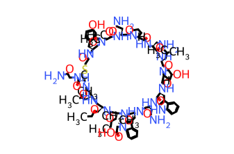 CCCC[C@H]1C(=O)N(C)[C@@H](CCCC)C(=O)N[C@@H](CC(C)C)C(=O)N[C@H](C(=O)NCC(N)=O)CSCC(=O)N[C@@H](Cc2ccc(O)cc2)C(=O)N(C)[C@@H](C)C(=O)N[C@@H](CC(N)=O)C(=O)N2CCC[C@H]2C(=O)N[C@@H](CN)C(=O)N[C@@H](CC(C)C)C(=O)N2C[C@H](O)C[C@H]2C(=O)N[C@@H](Cc2c[nH]c3ccccc23)C(=O)N[C@@H](CCN)C(=O)N[C@@H](Cc2cn(CC(=O)O)c3ccccc23)C(=O)N1C